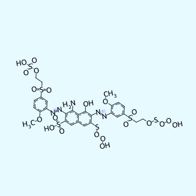 COc1ccc(S(=O)(=O)CCOS(=O)(=O)O)cc1/N=N/c1c(S(=O)(=O)O)cc2cc(SOOO)c(/N=N/c3cc(S(=O)(=O)CCOSOOO)ccc3OC)c(O)c2c1N